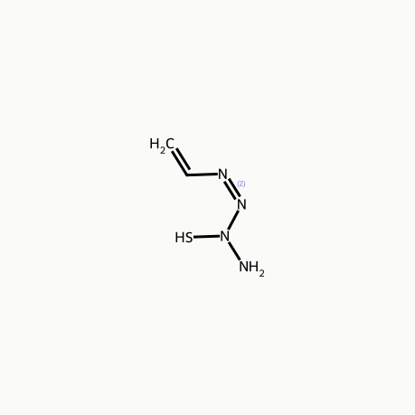 C=C/N=N\N(N)S